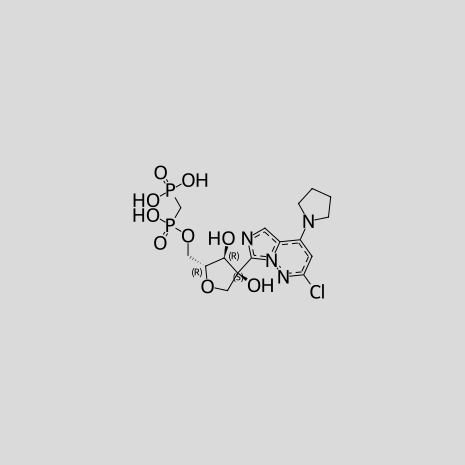 O=P(O)(O)CP(=O)(O)OC[C@H]1OC[C@@](O)(c2ncc3c(N4CCCC4)cc(Cl)nn23)[C@@H]1O